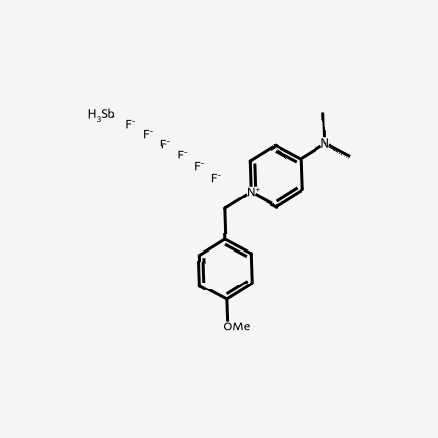 COc1ccc(C[n+]2ccc(N(C)C)cc2)cc1.[F-].[F-].[F-].[F-].[F-].[F-].[SbH3]